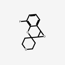 Fc1cccc2c1OC1(CCOCC1)C1OC21